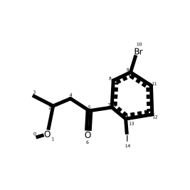 COC(C)CC(=O)c1cc(Br)ccc1I